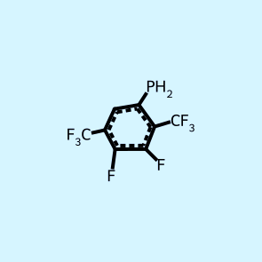 Fc1c(C(F)(F)F)cc(P)c(C(F)(F)F)c1F